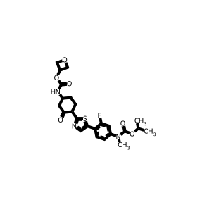 CC(C)OC(=O)N(C)c1ccc(-c2cnc(C3CCC(NC(=O)OC4COC4)CC3=O)s2)c(F)c1